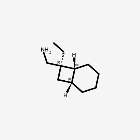 CC[C@@]1(CN)C[C@H]2CCCC[C@H]21